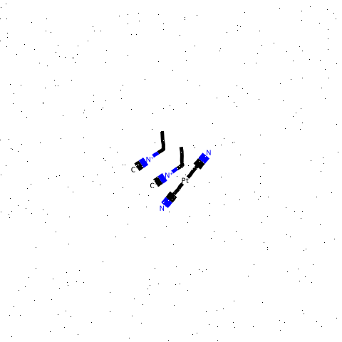 N#[C][Pt][C]#N.[C-]#[N+]CC.[C-]#[N+]CC